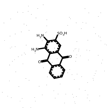 Nc1c(S(=O)(=O)O)cc2c(c1N)C(=O)c1ccccc1C2=O